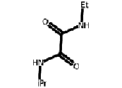 CCNC(=O)C(=O)NC(C)C